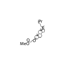 COC(=O)CCO[C@H]1CC[C@@]2(C)C(=CCC3C2CC[C@@]2(C)C3CC[C@@H]2[C@H](C)CCCC(C)C)C1